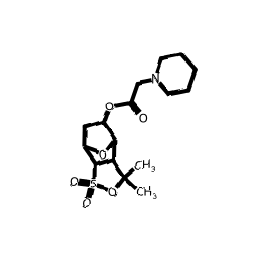 CC1(C)OS(=O)(=O)C2C3CC(OC(=O)CN4CCCCC4)C(O3)C21